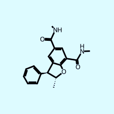 CNC(=O)c1cc(C(=O)NC)c2c(c1)[C@H](c1ccccc1)[C@@H](C)O2